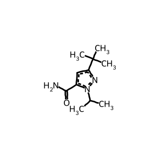 CC(C)n1nc(C(C)(C)C)cc1C(N)=O